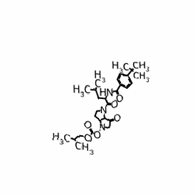 CC(C)COC(=O)ON1CC(=O)C2C1CCN2C(=O)C(CC(C)C)NC(=O)c1ccc(C(C)(C)C)cc1